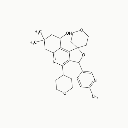 CC1(C)Cc2nc(C3CCOCC3)c3c(c2C(O)C1)C1(CCOCC1)OC3c1ccc(C(F)(F)F)nc1